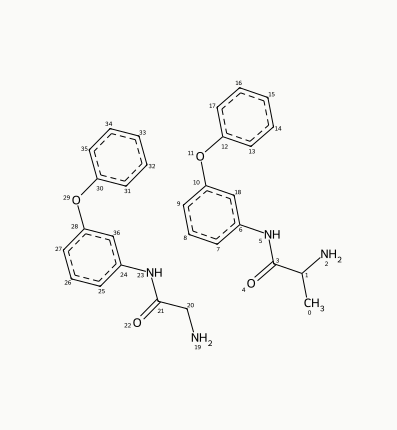 CC(N)C(=O)Nc1cccc(Oc2ccccc2)c1.NCC(=O)Nc1cccc(Oc2ccccc2)c1